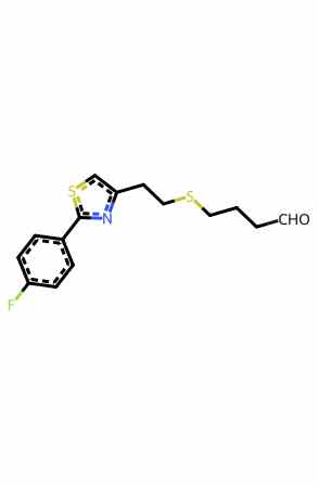 O=CCCCSCCc1csc(-c2ccc(F)cc2)n1